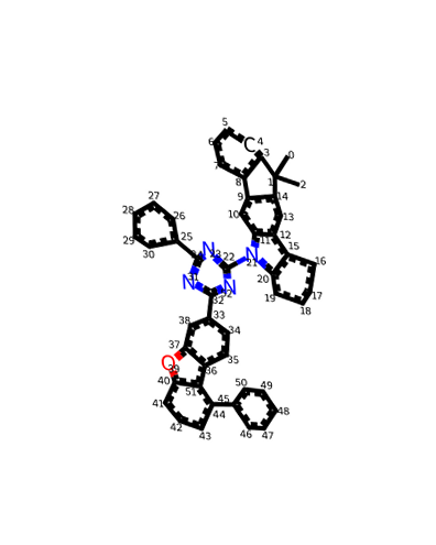 CC1(C)c2ccccc2-c2cc3c(cc21)c1ccccc1n3-c1nc(-c2ccccc2)nc(-c2ccc3c(c2)oc2cccc(-c4ccccc4)c23)n1